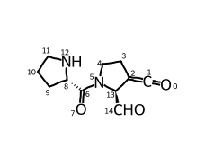 O=C=C1CCN(C(=O)[C@@H]2CCCN2)[C@@H]1C=O